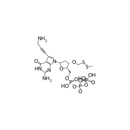 CSSCO[C@H]1CC(n2cc(C#CCN)c3c(=O)[nH]c(N)nc32)O[C@@H]1COP(=O)(O)OP(=O)(O)OP(=O)(O)O